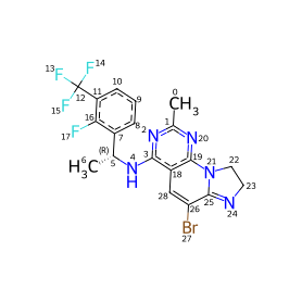 Cc1nc(N[C@H](C)c2cccc(C(F)(F)F)c2F)c2c(n1)N1CCN=C1C(Br)=C2